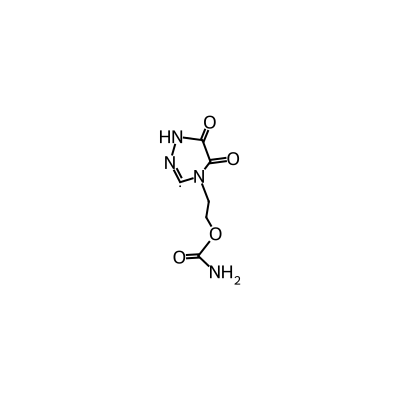 NC(=O)OCCn1[c]n[nH]c(=O)c1=O